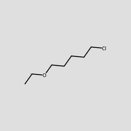 C[CH]OCCCCCCl